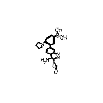 Nc1c(OC=O)nnc2cc(-c3cc(B(O)O)ccc3N3CCCC3)ccc12